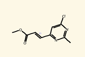 COC(=O)/C=C/c1cc(Cl)nc(C)n1